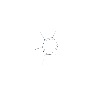 Cc1cnc(F)c(C)c1I